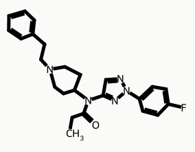 CCC(=O)N(c1cnn(-c2ccc(F)cc2)n1)C1CCN(CCc2ccccc2)CC1